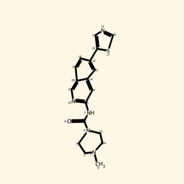 CN1CCN(C(=O)Nc2cc3cc(-c4cncs4)ccc3cn2)CC1